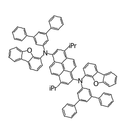 CC(C)c1cc(N(c2cc(-c3ccccc3)cc(-c3ccccc3)c2)c2cccc3c2oc2ccccc23)c2ccc3c(C(C)C)cc(N(c4cc(-c5ccccc5)cc(-c5ccccc5)c4)c4cccc5c4oc4ccccc45)c4ccc1c2c34